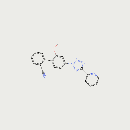 COc1cc(-n2nnc(-c3ccccn3)n2)ccc1-c1ccccc1C#N